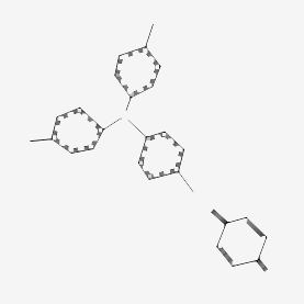 Cc1ccc(P(c2ccc(C)cc2)c2ccc(C)cc2)cc1.O=C1C=CC(=O)C=C1